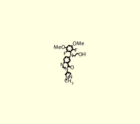 COc1cc(OC)c(F)c(N(CCO)c2ccc3ncn(-c4cnn(C)c4)c(=O)c3c2)c1F